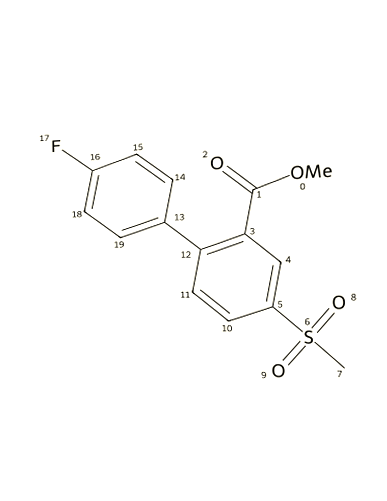 COC(=O)c1cc(S(C)(=O)=O)ccc1-c1ccc(F)cc1